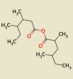 CCC(C)CC(C)C(=O)OC(=O)CC(C)C(C)CC